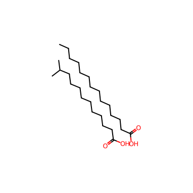 CC(C)CCCCCCCCCC(=O)O.CCCCCCCCCCCCCC(=O)O